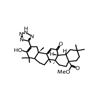 COC(=O)[C@]12CCC(C)(C)C[C@H]1[C@H]1C(=O)C=C3[C@@]4(C)CC(c5nn[nH]n5)=C(O)C(C)(C)C4CC[C@@]3(C)[C@]1(C)CC2